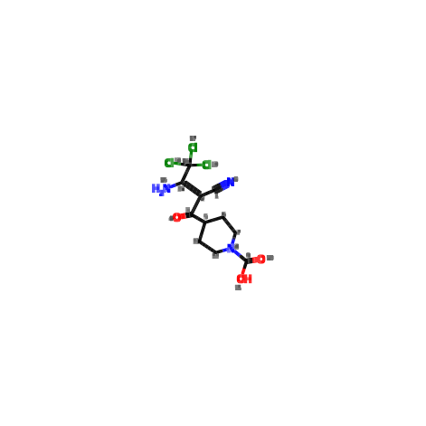 N#CC(C(=O)C1CCN(C(=O)O)CC1)=C(N)C(Cl)(Cl)Cl